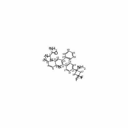 NC(=O)c1nnc2ccc3nc(-c4ccc(C5(N)CC(F)(F)C5)cc4)c(-c4ccccc4)cc3n12